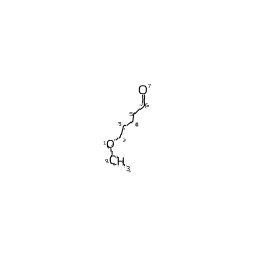 COCCCC[C]=O